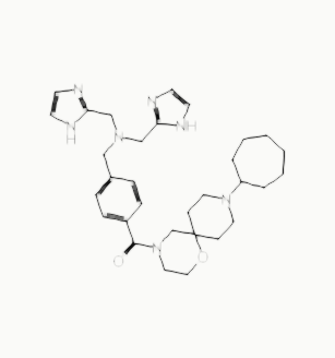 O=C(c1ccc(CN(Cc2ncc[nH]2)Cc2ncc[nH]2)cc1)N1CCOC2(CCN(C3CCCCCC3)CC2)C1